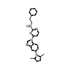 Cc1ccc(C)n1-c1ccc2c(c1)ncn2-c1ccnc(NCCc2ccccc2)n1